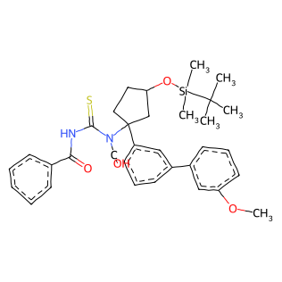 COc1cccc(-c2cccc(C3(N(CO)C(=S)NC(=O)c4ccccc4)CCC(O[Si](C)(C)C(C)(C)C)C3)c2)c1